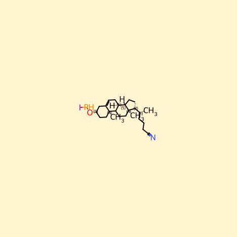 C[C@H](CCCC#N)[C@H]1CC[C@H]2[C@@H]3CC=C4C[C@@H](OPI)CC[C@]4(C)C3CC[C@]12C